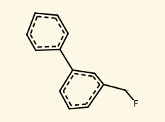 F[CH]c1cccc(-c2ccccc2)c1